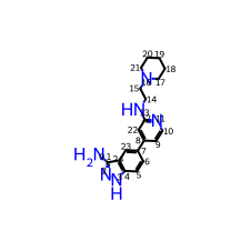 Nc1n[nH]c2ccc(-c3ccnc(NCCN4CCCCC4)c3)cc12